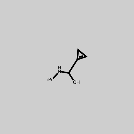 CC(C)NC(O)C1=CC1